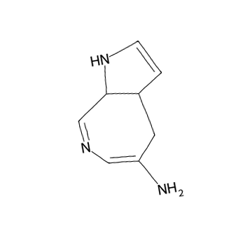 NC1=CN=CC2NC=CC2C1